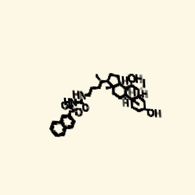 CC[C@H]1[C@@H](O)[C@H]2[C@@H]3CC[C@H]([C@H](C)CCCNC(=O)NS(=O)(=O)c4ccc5ccccc5c4)C3(C)CC[C@@H]2[C@@]2(C)CC[C@@H](O)C[C@@H]12